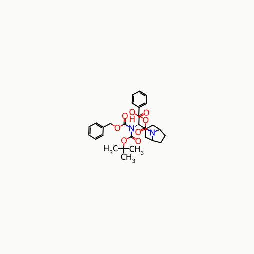 CC(C)(C)OC(=O)N(C(=O)OCc1ccccc1)[C@H](C(=O)O)C1CC2CCC(C1)N2C(=O)OCc1ccccc1